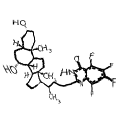 C[C@H](CCc1nc2c(F)c(F)c(F)c(F)c2c(=O)[nH]1)[C@H]1CC[C@H]2[C@H]3C(CC[C@]12C)[C@@]1(C)CC[C@@H](O)C[C@H]1C[C@H]3O